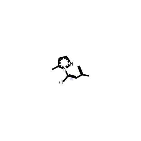 C=C(C)/C=C(/Cl)n1nccc1C